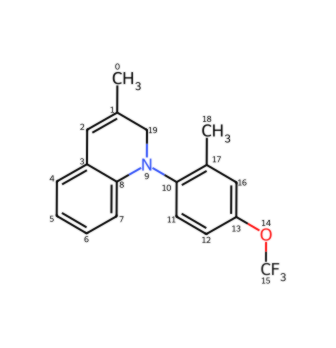 CC1=Cc2ccccc2N(c2ccc(OC(F)(F)F)cc2C)C1